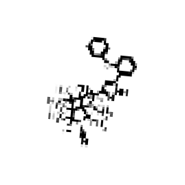 CN(C(=O)c1cc(-c2ccccc2Oc2ccccc2)[nH]n1)[C@@]12C(C)(C)N(C#N)C(C)(C)[C@]1(C)C(C)(C)C2(C)C